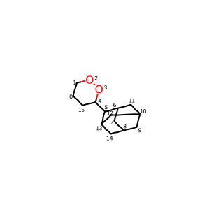 C1COOC(C2C3CC4CC(C3)CC2C4)C1